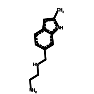 Cc1cc2ccc(CNCCN)cc2[nH]1